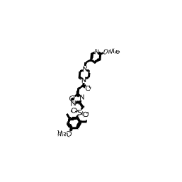 COc1cc(C)c(S(=O)(=O)Cc2noc(CC(=O)N3CCN(Cc4ccc(OC)nc4)CC3)n2)c(C)c1